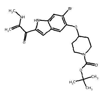 C=C(NC)C(=O)c1cc2cc(OC3CCN(C(=O)OC(C)(C)C)CC3)c(Br)cc2[nH]1